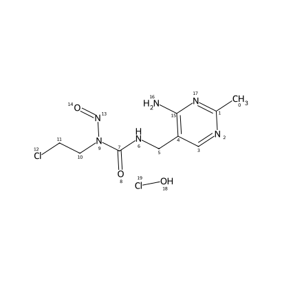 Cc1ncc(CNC(=O)N(CCCl)N=O)c(N)n1.OCl